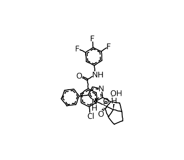 O=C(Nc1cc(F)c(F)c(F)c1)c1ccc(Cl)c(S(=O)(=O)[C@H]2C3CCC2C[C@](O)(c2ncc(-c4ccccc4)[nH]2)C3)c1